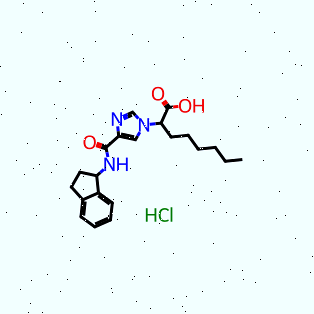 CCCCCCC(C(=O)O)n1cnc(C(=O)NC2CCc3ccccc32)c1.Cl